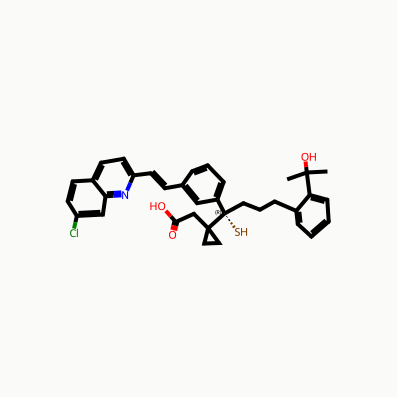 CC(C)(O)c1ccccc1CCC[C@](S)(c1cccc(C=Cc2ccc3ccc(Cl)cc3n2)c1)C1(CC(=O)O)CC1